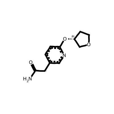 NC(=O)[CH]c1ccc(O[C@@H]2CCOC2)nc1